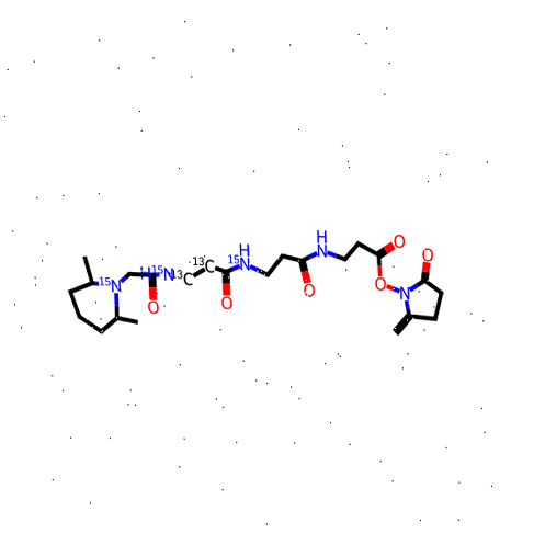 C=C1CCC(=O)N1OC(=O)CCNC(=O)CC[15NH]C(=O)[13CH2][13CH2][15NH]C(=O)C[15N]1C(C)CCCC1C